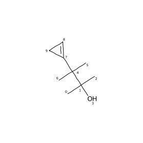 CC(C)(O)C(C)(C)C1=CC1